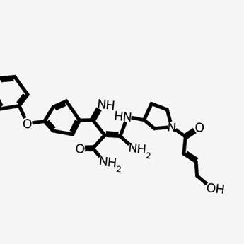 N=C(/C(C(N)=O)=C(/N)NC1CCN(C(=O)/C=C/CO)C1)c1ccc(Oc2ccccc2)cc1